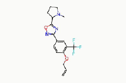 C=CCOc1ccc(-c2noc(C3CCCN3C)n2)cc1C(F)(F)F